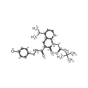 CC(C)c1ccnc2c1cc(C(=O)NCc1ccc(Cl)cc1)c(=O)n2CC(=O)OC(C)(C)C